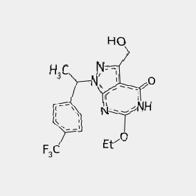 CCOc1nc2c(c(CO)nn2C(C)c2ccc(C(F)(F)F)cc2)c(=O)[nH]1